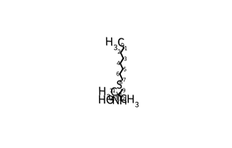 CCCCCCCCSCC(C)(C)NO